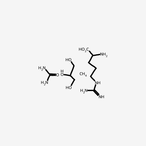 C.N=C(N)NCCCC(N)C(=O)O.NC(N)=O.OCC(O)CO